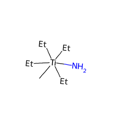 C[CH2][Ti]([CH3])([NH2])([CH2]C)([CH2]C)[CH2]C